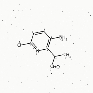 CC(C=O)c1nc(Cl)ccc1N